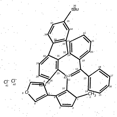 CC1C=CC(c2ccoc2)=[C]1[Zr+2](=[C](c1ccccc1)c1ccccc1)[c]1c(C(C)(C)C)ccc2c1Cc1cc(C(C)(C)C)ccc1-2.[Cl-].[Cl-]